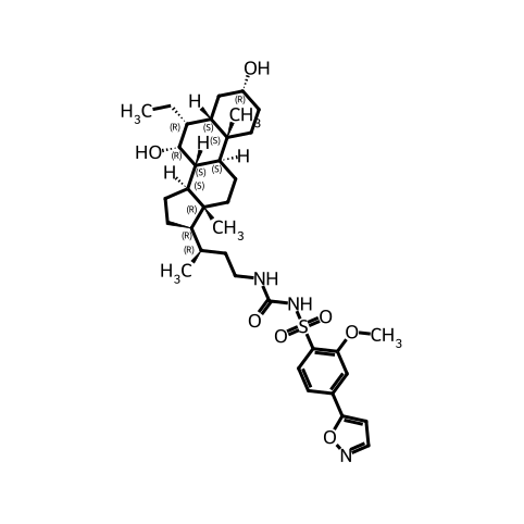 CC[C@H]1[C@@H](O)[C@@H]2[C@H](CC[C@]3(C)[C@@H]([C@H](C)CCNC(=O)NS(=O)(=O)c4ccc(-c5ccno5)cc4OC)CC[C@@H]23)[C@@]2(C)CC[C@@H](O)C[C@@H]12